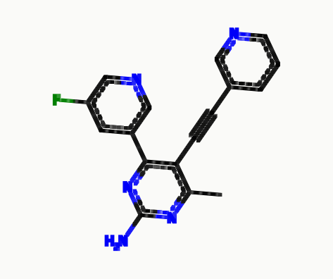 Cc1nc(N)nc(-c2cncc(F)c2)c1C#Cc1cccnc1